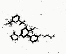 CC(C)(Nc1cc(N2CCCC2=O)cc(-c2cccc(OCCCF)c2)c1C(F)(F)F)c1cccc(C(F)(F)F)n1